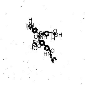 CCN(CC)CCNC(=O)c1ccc(-c2ccc(C[C@H](NC(=O)[C@H]3CC[C@H](CNC(=O)O)CC3)C(=O)Nc3ccc(-c4nn[nH]n4)cc3)cc2)cc1.O=C(O)C(F)(F)F